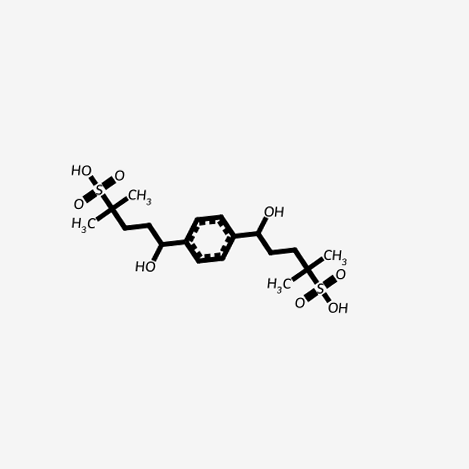 CC(C)(CCC(O)c1ccc(C(O)CCC(C)(C)S(=O)(=O)O)cc1)S(=O)(=O)O